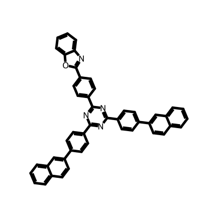 c1ccc2cc(-c3ccc(-c4nc(-c5ccc(-c6ccc7ccccc7c6)cc5)nc(-c5ccc(-c6nc7ccccc7o6)cc5)n4)cc3)ccc2c1